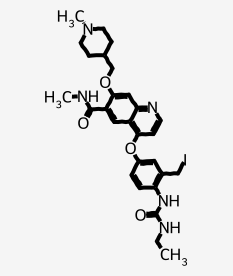 CCNC(=O)Nc1ccc(Oc2ccnc3cc(OCC4CCN(C)CC4)c(C(=O)NC)cc23)cc1CI